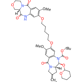 C=C1C[C@H]2[C@H](OC3CCCCO3)N(C(=O)OC(C)(C)C)c3cc(OCCCCCOc4cc5c(cc4OC)C(=O)N4CCOC[C@H]4C(=O)N5)c(OC)cc3C(=O)N2C1